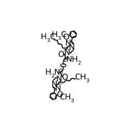 CCCCCC[C@H]1c2nc(-c3ccccc3OC)cn2CCN1C(=O)[C@@H](N)CSSC[C@H](N)C(=O)N1CCn2cc(-c3ccccc3OC)nc2[C@@H]1CCCCCC